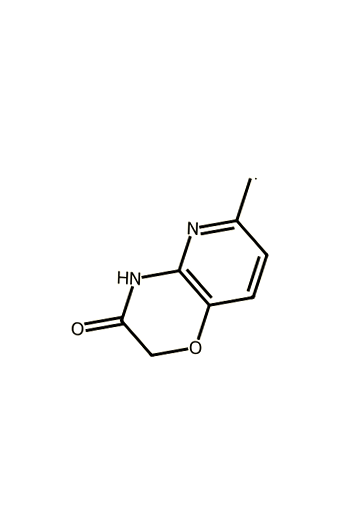 [CH2]c1ccc2c(n1)NC(=O)CO2